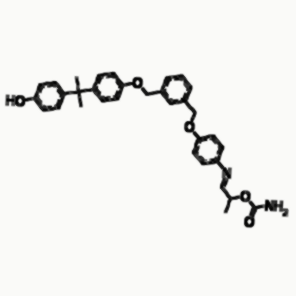 CC(C=Nc1ccc(OCc2cccc(COc3ccc(C(C)(C)c4ccc(O)cc4)cc3)c2)cc1)OC(N)=O